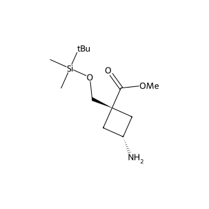 COC(=O)[C@]1(CO[Si](C)(C)C(C)(C)C)C[C@H](N)C1